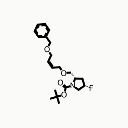 CC(C)(C)OC(=O)N1C[C@@H](F)C[C@H]1COC/C=C\COCc1ccccc1